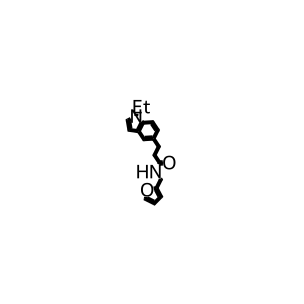 CCn1ccc2cc(CCC(=O)NCc3ccco3)ccc21